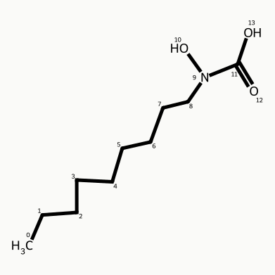 CCCCCCCCCN(O)C(=O)O